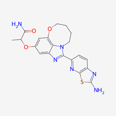 CC(Oc1cc2c3c(c1)nc(-c1ccc4nc(N)sc4n1)n3CCCCO2)C(N)=O